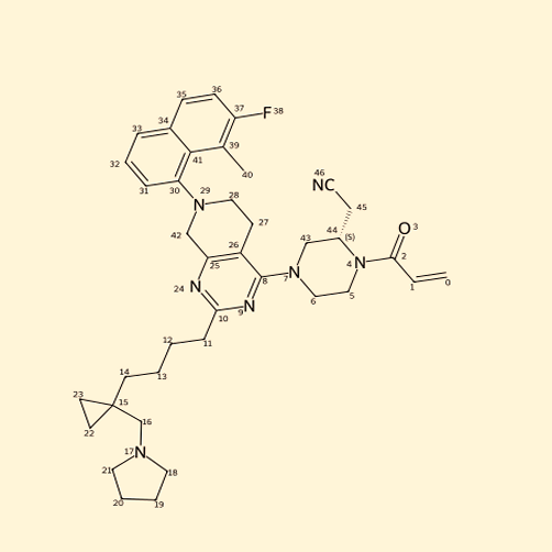 C=CC(=O)N1CCN(c2nc(CCCCC3(CN4CCCC4)CC3)nc3c2CCN(c2cccc4ccc(F)c(C)c24)C3)C[C@@H]1CC#N